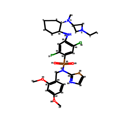 CCN1CC(N(C)[C@H]2CCCC[C@@H]2Nc2cc(F)c(S(=O)(=O)N(Cc3ccc(OC)cc3OC)c3nccs3)cc2Cl)C1